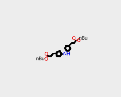 CCCCOC(=O)/C=C/c1ccc(Nc2ccc(/C=C/C(=O)OCCCC)cc2)cc1